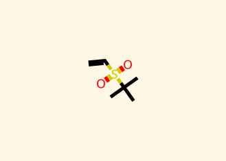 C=CS(=O)(=O)C(C)(C)C